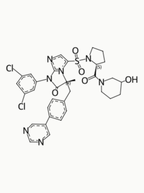 C[C@@]1(Cc2ccc(-c3cncnc3)cc2)C(=O)N(c2cc(Cl)cc(Cl)c2)c2ncc(S(=O)(=O)N3CCC[C@H]3C(=O)N3CCCC(O)C3)n21